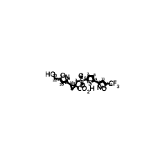 O=C(O)C1(CS(=O)(=O)c2ccc(-c3cc(C(F)(F)F)on3)s2)CC1c1cc(CO)on1